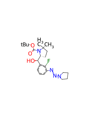 CC(C)(C)OC(=O)N1[C@@H]([C@H](O)c2cccc(/N=N/N3CCCC3)c2F)CCC1(C)C